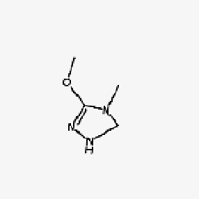 COC1=NNCN1C